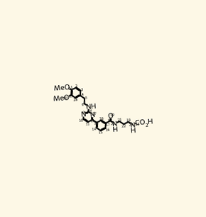 COc1ccc(CCNc2nccc(-c3cccc(C(=O)NCCCNC(=O)O)c3)n2)cc1OC